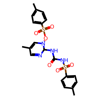 CC1=CN(OS(=O)(=O)c2ccc(C)cc2)C(NC(=O)NS(=O)(=O)c2ccc(C)cc2)N=C1